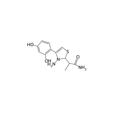 CC(C(N)=O)C1SC=C(c2ccc(O)cc2O)N1N